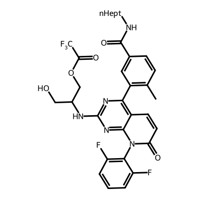 CCCCCCCNC(=O)c1ccc(C)c(-c2nc(NC(CO)COC(=O)C(F)(F)F)nc3c2ccc(=O)n3-c2c(F)cccc2F)c1